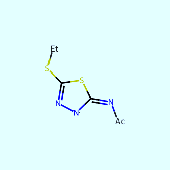 CCSC1=N[N]C(=NC(C)=O)S1